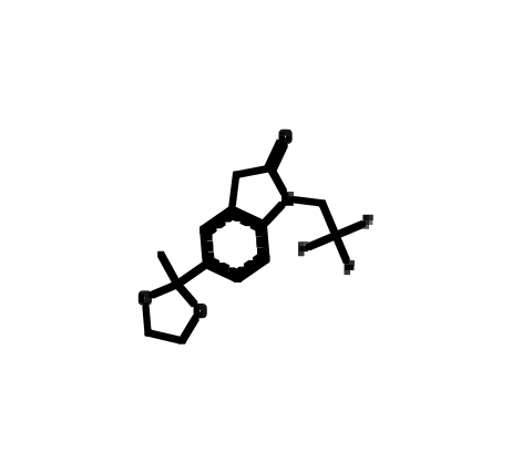 CC1(c2ccc3c(c2)CC(=O)N3CC(F)(F)F)OCCO1